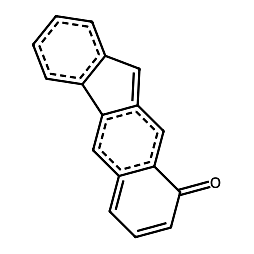 O=C1C=CC=c2cc3c(cc21)=Cc1ccccc1-3